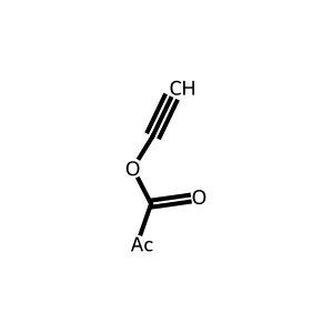 C#COC(=O)C(C)=O